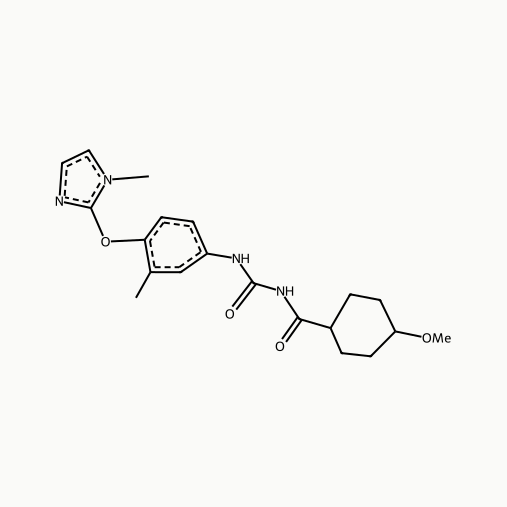 COC1CCC(C(=O)NC(=O)Nc2ccc(Oc3nccn3C)c(C)c2)CC1